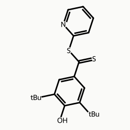 CC(C)(C)c1cc(C(=S)Sc2ccccn2)cc(C(C)(C)C)c1O